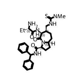 CC[C@H](N)C(=O)N[C@@H]1C(=O)N2[C@@H](CC[C@@H]1CNC(=S)NC)CC[C@H]2C(=O)NC(c1ccccc1)c1ccccc1